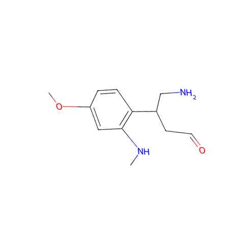 CNc1cc(OC)ccc1C(CN)CC=O